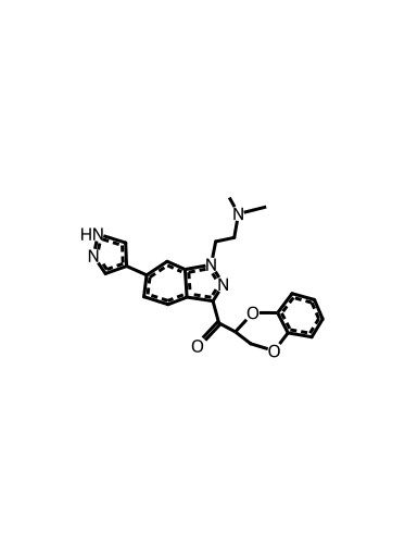 CN(C)CCn1nc(C(=O)C2COc3ccccc3O2)c2ccc(-c3cn[nH]c3)cc21